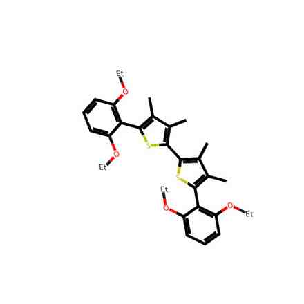 CCOc1cccc(OCC)c1-c1sc(-c2sc(-c3c(OCC)cccc3OCC)c(C)c2C)c(C)c1C